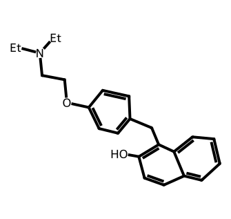 CCN(CC)CCOc1ccc(Cc2c(O)ccc3ccccc23)cc1